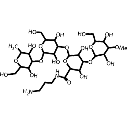 COC1C(O)C(CO)OC(OC2C(O)C(OC3C(O)C(CO)OC(OC4C(O)C(C)OC(CO)C4O)C3O)OC(C(=O)NCCCN)C2O)C1O